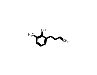 C=CCCc1cccc(C)c1O